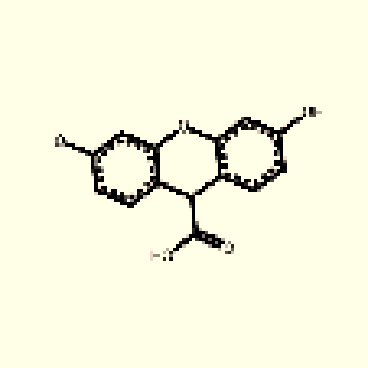 O=C(O)C1c2ccc(O)cc2Oc2cc(O)ccc21